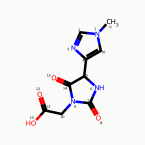 Cn1cnc(C2NC(=O)N(CC(=O)O)C2=O)c1